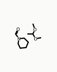 COC(C)OC.O=CN1CCCCC1